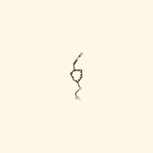 O=C=Cc1ccc(OCC(F)(F)F)nc1